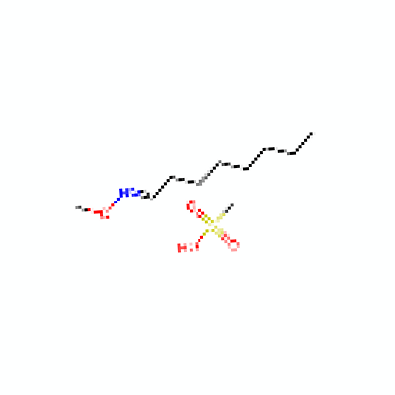 CCCCCCCC=NOC.CS(=O)(=O)O